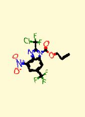 C=CCOC(=O)n1c(C(F)(F)Cl)nc2c([N+](=O)[O-])cc(C(F)(F)F)cc21